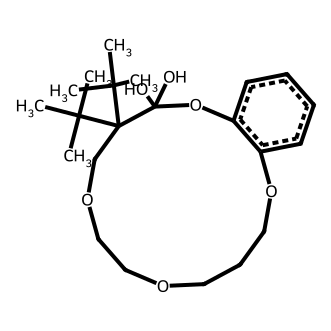 CC(C)(C)C1(C(C)(C)C)COCCOCCCOc2ccccc2OC1(O)O